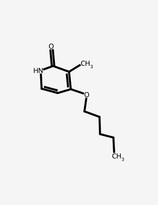 CCCCCOc1cc[nH]c(=O)c1C